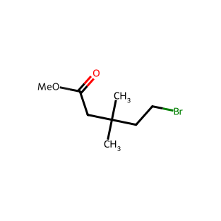 COC(=O)CC(C)(C)CCBr